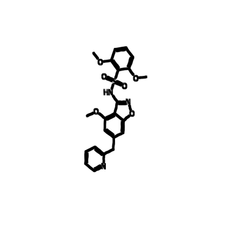 COc1cccc(OC)c1S(=O)(=O)Nc1noc2cc(Cc3ccccn3)cc(OC)c12